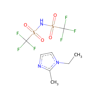 CCn1ccnc1C.O=S(=O)(NS(=O)(=O)C(F)(F)F)C(F)(F)F